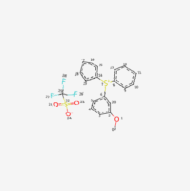 COc1cccc([S+](c2ccccc2)c2ccccc2)c1.O=S(=O)([O-])C(F)(F)F